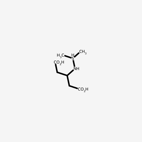 C[SH](C)NC(CC(=O)O)CC(=O)O